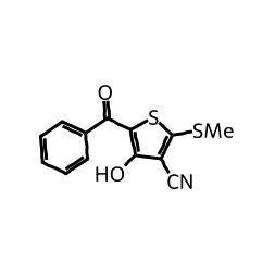 CSc1sc(C(=O)c2ccccc2)c(O)c1C#N